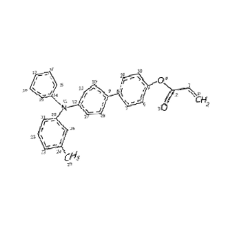 C=CC(=O)Oc1ccc(-c2ccc(N(c3ccccc3)c3cccc(C)c3)cc2)cc1